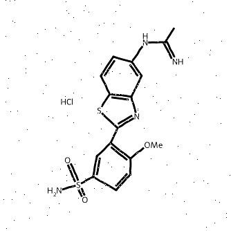 COc1ccc(S(N)(=O)=O)cc1-c1nc2cc(NC(C)=N)ccc2s1.Cl